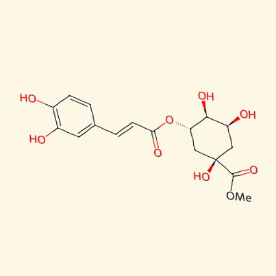 COC(=O)[C@]1(O)C[C@H](OC(=O)/C=C/c2ccc(O)c(O)c2)[C@@H](O)[C@@H](O)C1